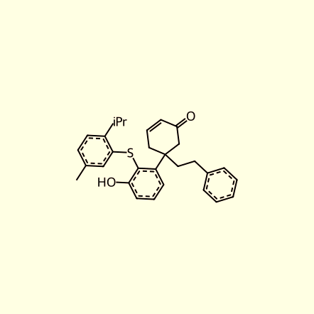 Cc1ccc(C(C)C)c(Sc2c(O)cccc2C2(CCc3ccccc3)CC=CC(=O)C2)c1